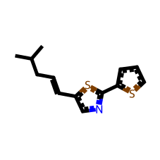 CC(C)C/C=C/c1cnc(-c2cccs2)s1